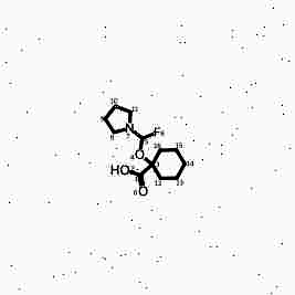 O=C(O)C1(OC(F)N2CCCC2)CCCCC1